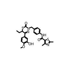 CCC1SC(=O)N(Cc2ccc(NC(=O)c3sc(C)nc3C)cc2)N=C1c1ccc(OC)c(O)c1